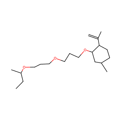 C=C(C)C1CCC(C)CC1OCCCOCCCOC(C)CC